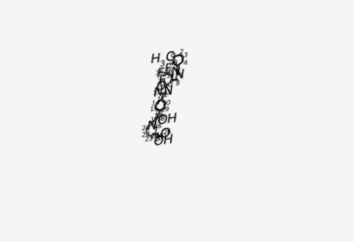 Cc1cccc(-n2ncc(-c3nc(-c4ccc([C@@H](O)CN5CCC[C@H](C(=O)O)C5)cc4)no3)c2C(F)(F)F)c1